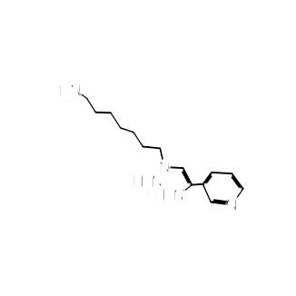 NCCCCCCCN(N)/C=C(\N)c1cccnc1